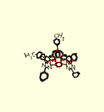 Cc1ccc(-c2ccc3c(c2)c2ccccc2n3-c2c(-c3nc(-c4ccccc4)nc(-c4ccccc4)n3)cccc2-c2ccccc2-c2ccccc2-c2cccc(-c3nc(-c4ccccc4)nc(-c4ccccc4)n3)c2-n2c3ccccc3c3cc(-c4ccc(C)cc4)ccc32)cc1